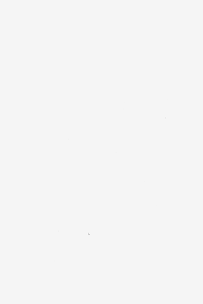 CC1(C)c2ccccc2-c2ccc(-c3c4ccc(-c5c6ccccc6c(-c6ccccc6)c6ccccc56)cc4c(-c4ccc5c(c4)C(C)(C)C4C=CC=CC54)c4cc5c(cc34)-c3ccccc3S5(C)C)cc21